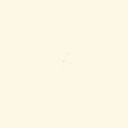 CCCC(O)(I)I